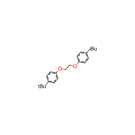 CCC(C)c1ccc(OCCOc2ccc(C(C)(C)C)cc2)cc1